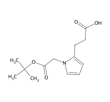 CC(C)(C)OC(=O)Cn1cccc1CCC(=O)O